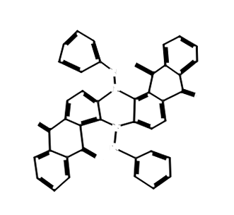 O=c1c2ccccc2c(=O)c2c1ccc1c2n(Nc2ccccc2)c2ccc3c(=O)c4ccccc4c(=O)c3c2n1Nc1ccccc1